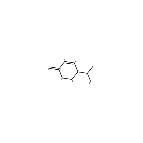 C=C1C=CC(C(C)C)CC1